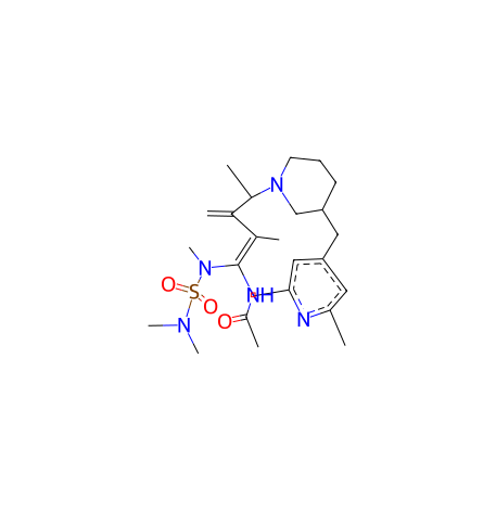 C=C(/C(C)=C(/NC(C)=O)N(C)S(=O)(=O)N(C)C)C(C)N1CCCC(Cc2cc(C)nc(C)c2)C1